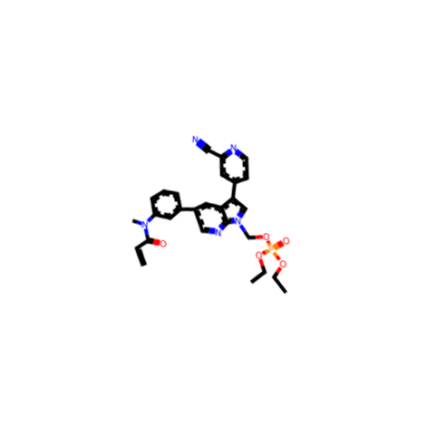 C=CC(=O)N(C)c1cccc(-c2cnc3c(c2)c(-c2ccnc(C#N)c2)cn3COP(=O)(OCC)OCC)c1